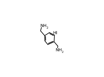 I.NCc1ccc(CN)cc1